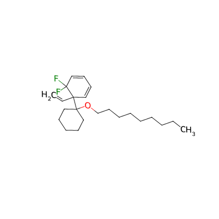 C=CC1(C2(OCCCCCCCCC)CCCCC2)C=CC=CC1(F)F